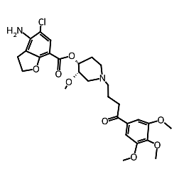 COc1cc(C(=O)CCCN2CC[C@@H](OC(=O)c3cc(Cl)c(N)c4c3OCC4)[C@@H](OC)C2)cc(OC)c1OC